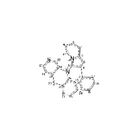 c1ccc(-c2cc3ccccn3c2N2c3ccccc3Sc3ccccc32)cc1